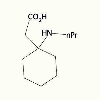 CCCNC1(CC(=O)O)CCCCC1